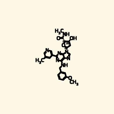 CNC(=O)[C@H]1O[C@@H](n2cnc3c(NCc4cccc(OC)c4)nc(-c4cncc(C)c4)nc32)C[C@@H]1O